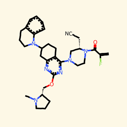 C=C(F)C(=O)N1CCN(c2nc(OC[C@@H]3CCCN3C)nc3c2CCC(N2CCCc4ccccc42)C3)C[C@@H]1CC#N